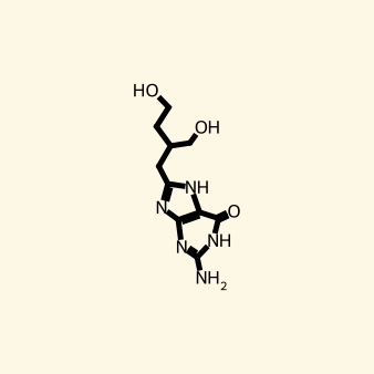 Nc1nc2nc(CC(CO)CCO)[nH]c2c(=O)[nH]1